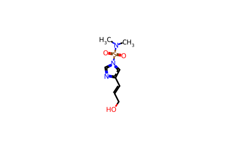 CN(C)S(=O)(=O)n1cnc(C=CCO)c1